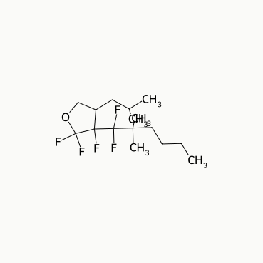 CCCCC(C)(C)C(F)(F)C1(F)C(CC(C)C)COC1(F)F